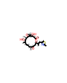 C/C(=C\c1csc(C)n1)C1CC2O[C@]2(C)C/C=C/C(C)[C@H](O)[C@@H](C)C(=O)C(C)(C)[C@@H](O)CC(=O)O1